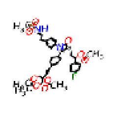 CC(=O)OC(CC[C@H]1C(=O)N(c2ccc(CCCNS(C)(=O)=O)cc2)[C@@H]1c1ccc(C#CC2(OC(C)=O)COC(C)(C)OC2)cc1)c1ccc(F)cc1